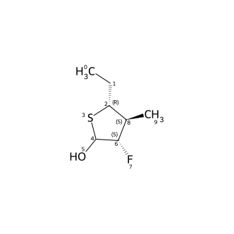 CC[C@H]1SC(O)[C@@H](F)[C@@H]1C